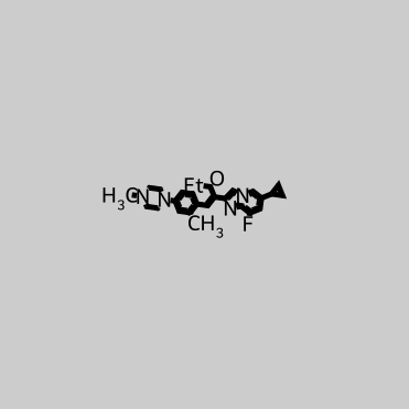 CCC(=O)/C(=C\c1ccc(N2CCN(C)CC2)cc1C)c1cn2cc(C3CC3)cc(F)c2n1